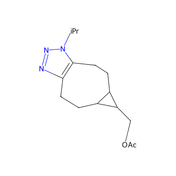 CC(=O)OCC1C2CCc3nnn(C(C)C)c3CCC21